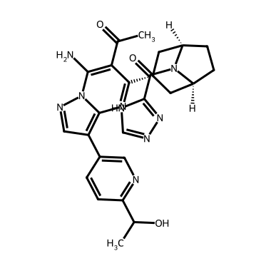 CC(=O)c1c([C@@H]2C[C@H]3CC[C@@H](C2)N3C(=O)c2nnc[nH]2)nc2c(-c3ccc(C(C)O)nc3)cnn2c1N